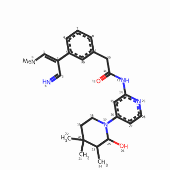 CN/C=C(\C=N)c1cccc(CC(=O)Nc2cc(N3CCC(C)(C)C(C)C3O)ccn2)c1